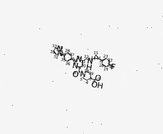 O=C(O)C1CCN(C(=O)c2cc(CN[C@@H]3C[C@H]3c3ccc(F)cc3)nc(-c3ccc(-n4cccn4)cc3)n2)CC1